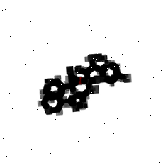 COC(c1ncc(Cl)cn1)C(C)S(=O)(=O)Nc1nnc([C@H]2COCCO2)n1C1(c2cccnc2)CC1